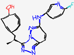 C[C@@H](c1ccc(O)cc1)c1nnc2ccc(Nc3ccc(F)nc3)nn12